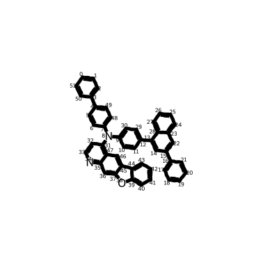 c1ccc(-c2ccc(N(c3ccc(-c4cc(-c5ccccc5)cc5ccccc45)cc3)c3ccnc4cc5oc6ccccc6c5cc34)cc2)cc1